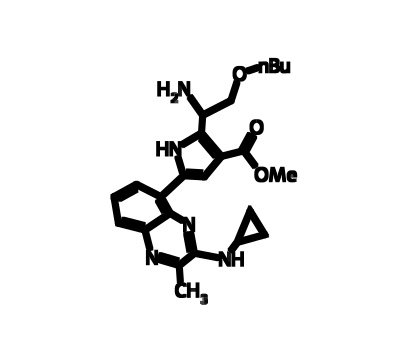 CCCCOCC(N)c1[nH]c(-c2cccc3nc(C)c(NC4CC4)nc23)cc1C(=O)OC